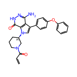 C=CC(=O)N1CCC[C@@H](n2cc(-c3ccc(Oc4ccccc4)cc3)c3c(N)n[nH]c(=O)c32)C1